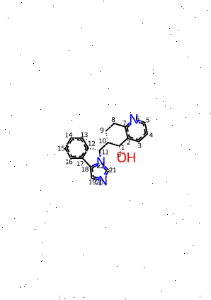 O[C@H]1c2cccnc2CC[C@H]1[C@H]1c2ccccc2-c2cncn21